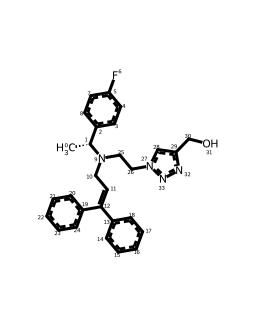 C[C@H](c1ccc(F)cc1)N(CC=C(c1ccccc1)c1ccccc1)CCn1cc(CO)nn1